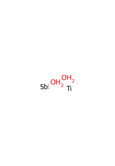 O.O.[Sb].[Ti]